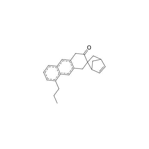 CCCc1cccc2cc3c(cc12)CC1(CC2C=CC1C2)C(=O)C3